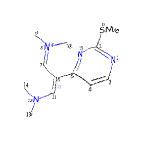 CSc1nccc(/C(C=[N+](C)C)=C/N(C)C)n1